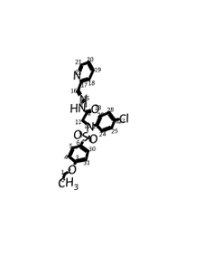 CCOc1ccc(S(=O)(=O)N(CC(=O)NN=Cc2ccccn2)c2ccc(Cl)cc2)cc1